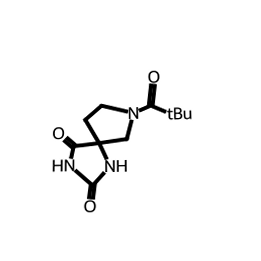 CC(C)(C)C(=O)N1CCC2(C1)NC(=O)NC2=O